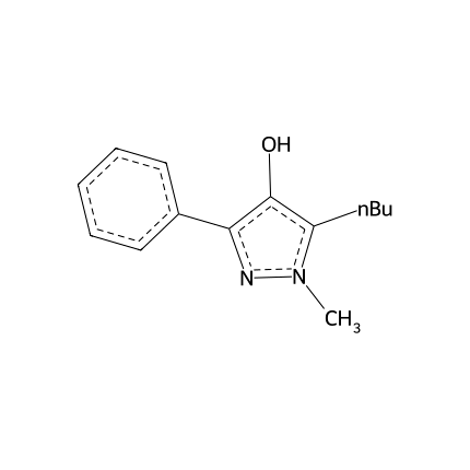 CCCCc1c(O)c(-c2ccccc2)nn1C